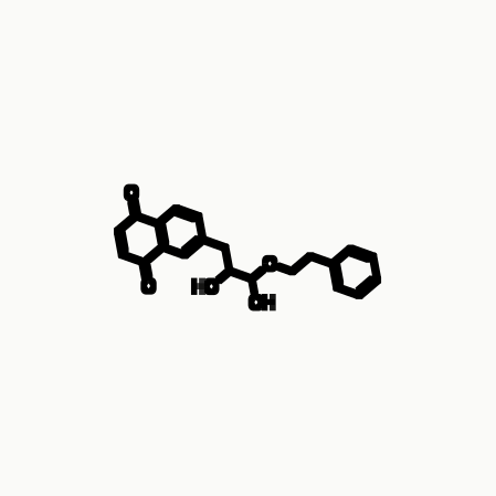 O=C1C=CC(=O)c2cc(CC(O)C(O)OCCc3ccccc3)ccc21